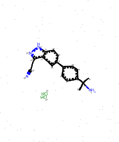 CC(C)(N)c1ccc(-c2ccc3[nH]nc(C#N)c3c2)cc1.Cl.Cl